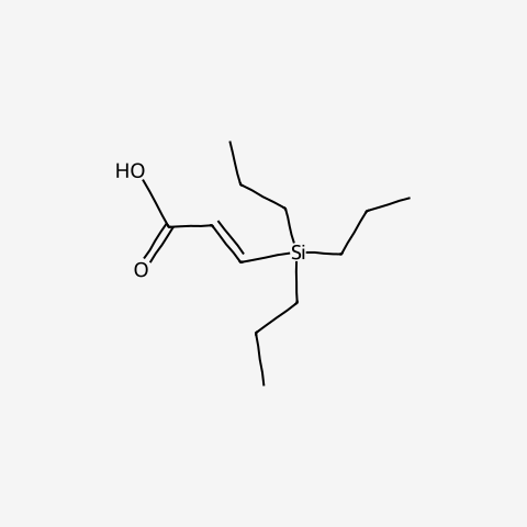 CCC[Si](C=CC(=O)O)(CCC)CCC